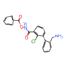 NCc1ccccc1-c1cccc(C(=O)NOC(=O)c2ccccc2)c1Cl